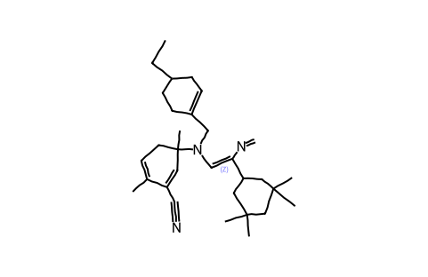 C=N/C(=C\N(CC1=CCC(CC)CC1)C1(C)C=C(C#N)C(C)=CC1)C1CC(C)(C)CC(C)(C)C1